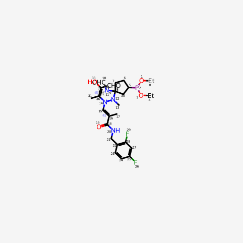 CCOP(OCC)C1CCC(N(C=O)CC)(N(C)N(/C=C(\C)C(=O)NCc2ccc(F)cc2F)/C(C)=C(/O)C=O)C1